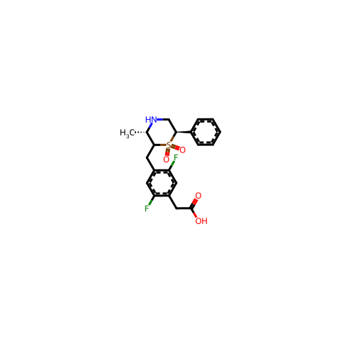 C[C@@H]1NC[C@@H](c2ccccc2)S(=O)(=O)C1Cc1cc(F)c(CC(=O)O)cc1F